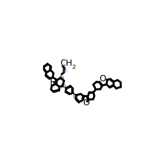 C=C/C=C\C[C@@H]1C[C@H](c2ccc([C@@H]3C=Cc4oc5c(c4C3)C=C(C3CCC4=C(C3)C3C=C6CCCCC6=CC3O4)CC5)cc2)C2C=CCC[C@@H]2C1C1C=Cc2ccccc2C1